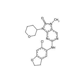 Cn1c(=O)n(C2CCCOC2)c2nc(Nc3cc4c(cc3Cl)OCC4)ncc21